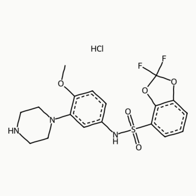 COc1ccc(NS(=O)(=O)c2cccc3c2OC(F)(F)O3)cc1N1CCNCC1.Cl